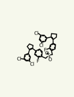 O=S(=O)(Cc1ccc(C2=C(c3cc(Cl)cc(Cl)c3)CCC2)cc1F)Cc1ccc(C2=C(c3cc(Cl)cc(Cl)c3)CCC2)cc1F